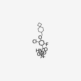 CN(C)S(=O)(=O)NC(=O)c1cc(Cl)c(OCC2CCC3(CCC3)CC2)cc1F